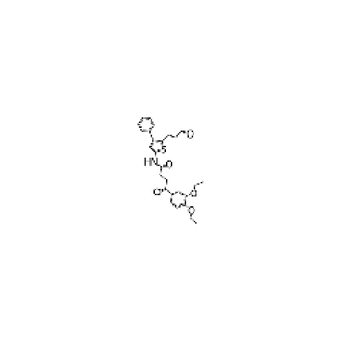 CCOc1ccc(C(=O)CCC(=O)Nc2cc(-c3ccccc3)c(CCC=O)s2)cc1OCC